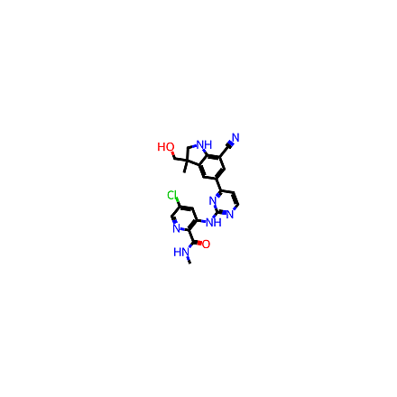 CNC(=O)c1ncc(Cl)cc1Nc1nccc(-c2cc(C#N)c3c(c2)C(C)(CO)CN3)n1